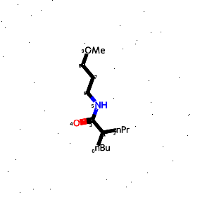 CCCCC(CCC)C(=O)NCCCOC